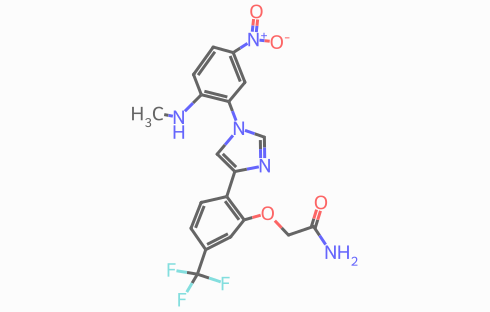 CNc1ccc([N+](=O)[O-])cc1-n1cnc(-c2ccc(C(F)(F)F)cc2OCC(N)=O)c1